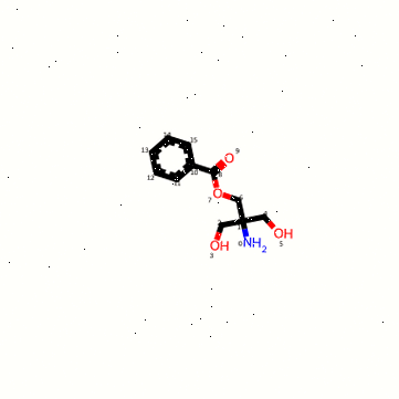 NC(CO)(CO)COC(=O)c1ccccc1